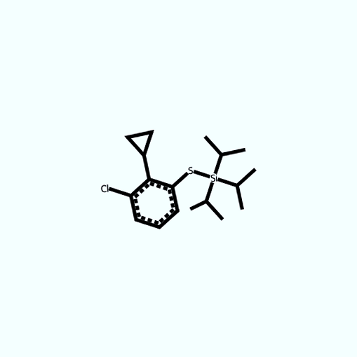 CC(C)[Si](Sc1cccc(Cl)c1C1CC1)(C(C)C)C(C)C